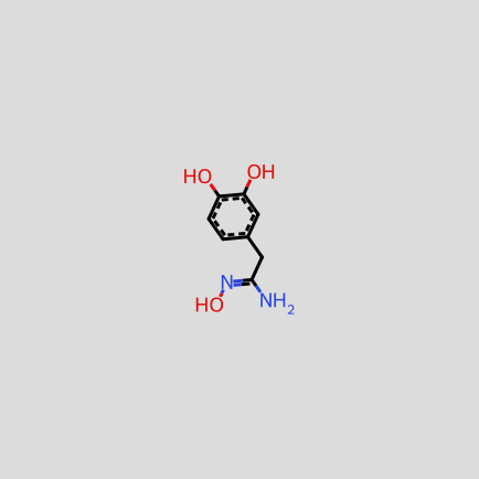 NC(Cc1ccc(O)c(O)c1)=NO